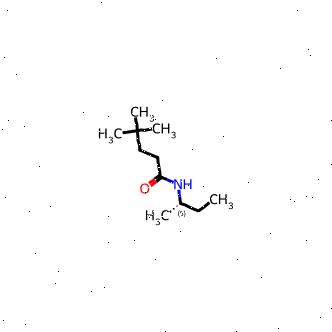 CC[C@H](C)NC(=O)CCC(C)(C)C